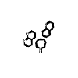 C1=CC=CNC=C1.c1ccc2ncccc2c1.c1cnc2ncccc2c1